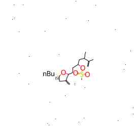 C=C(C)C(C)CC(CCC1O[C@@H](CCCC)CC1=C)OS(C)(=O)=O